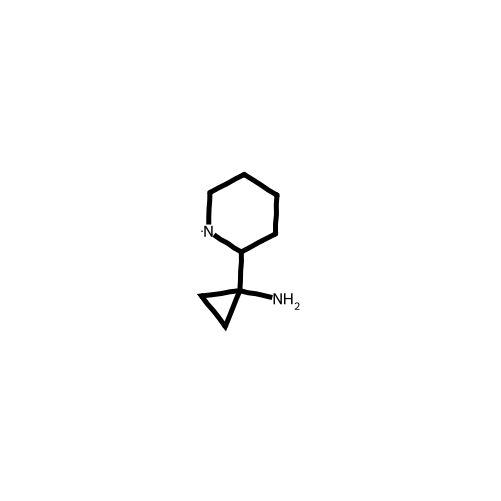 NC1(C2CCCC[N]2)CC1